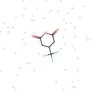 O=C1CC(C(F)(F)F)CC(=O)O1